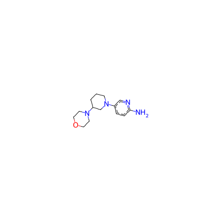 Nc1ccc(N2CCCC(N3CCOCC3)C2)cn1